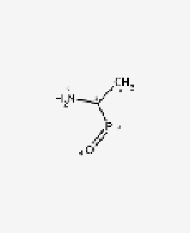 CC(N)P=O